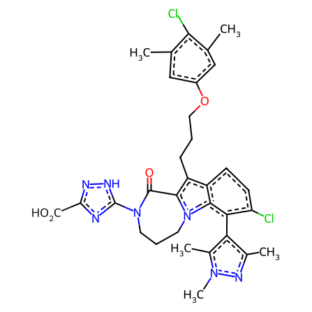 Cc1cc(OCCCc2c3n(c4c(-c5c(C)nn(C)c5C)c(Cl)ccc24)CCCN(c2nc(C(=O)O)n[nH]2)C3=O)cc(C)c1Cl